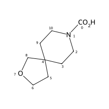 O=C(O)N1CCC2(CCOC2)CC1